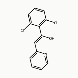 OC(=Cc1ccccn1)c1c(Cl)cccc1Cl